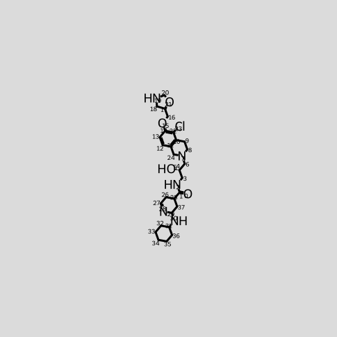 O=C(NC[C@H](O)CN1CCc2c(ccc(OCC3CNCO3)c2Cl)C1)C1CC=NC(NC2CCCCC2)C1